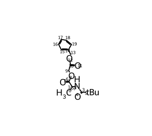 C[C@H](NC(=O)C(C)(C)C)C(=O)OCC(=O)OCc1ccccc1